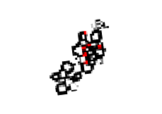 CC(C)(C)c1ccc2c(c1)C1(c3cc(C(C)(C)C)ccc3O2)c2ccccc2-c2ccc(N(c3ccc4c(c3)C3(c5ccccc5Oc5ccccc53)c3ccccc3-4)c3ccccc3-c3cccc4ccccc34)cc21